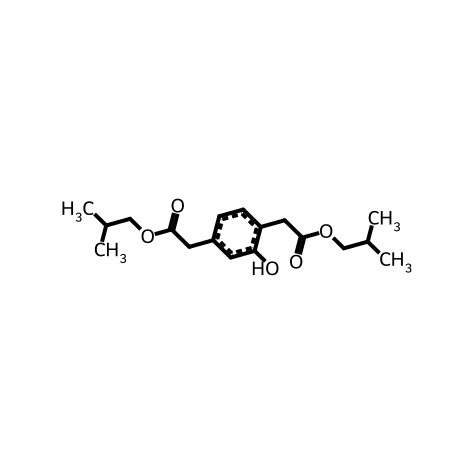 CC(C)COC(=O)Cc1ccc(CC(=O)OCC(C)C)c(O)c1